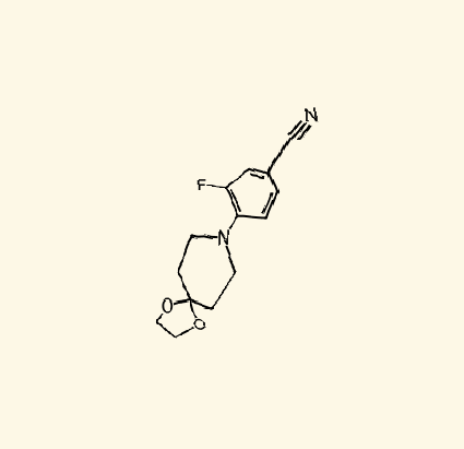 N#Cc1ccc(N2CCC3(CC2)OCCO3)c(F)c1